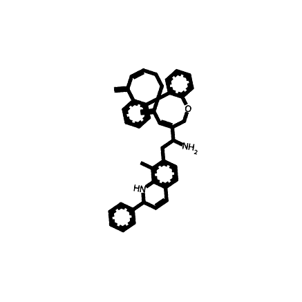 C=C1/C=C\CCC2(C(=C)/C=C(/C(N)Cc3ccc4c(c3C)NC(c3ccccc3)C=C4)COc3ccccc32)c2ccccc21